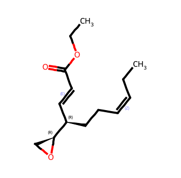 CC/C=C\CC[C@H](/C=C/C(=O)OCC)[C@@H]1CO1